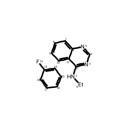 CCNc1ncnc2ccccc12.Fc1ccccc1